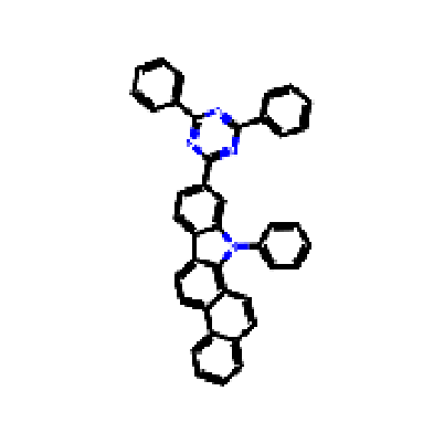 c1ccc(-c2nc(-c3ccccc3)nc(-c3ccc4c5ccc6c7ccccc7ccc6c5n(-c5ccccc5)c4c3)n2)cc1